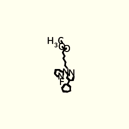 CCOC(=O)CCCCCCN(c1ccccn1)c1cc(C2=CCC=CC=C2F)ccn1